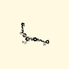 Cc1cc(N2CCN(C(=O)COCCc3cccs3)CC2)nc(NCc2ccc(CNCCCNC3CCCCC3)cc2)n1